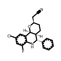 N#CC[C@H]1CC[C@@H]2[C@H](O1)c1cc(Cl)cc(F)c1N[C@H]2c1ccccc1